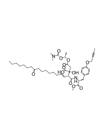 CC#CCOc1ccc(C[C@H](NC(=O)[C@@H](/C=C/CCCCCCC(=O)CCCCCCC)C(O)(CC(=O)O[C@H](C)OC(=O)N(C)C)C(=O)O)C(=O)OC)cc1